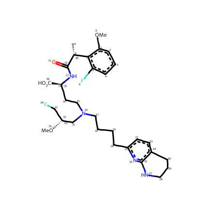 COc1cccc(F)c1[C@@H](C)C(=O)N[C@@H](CCN(CCCCc1ccc2c(n1)NCCC2)C[C@@H](CF)OC)C(=O)O